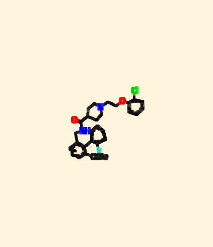 COc1cccc(CNC(=O)C2CCN(CCOc3ccccc3Cl)CC2)c1-c1ccccc1F